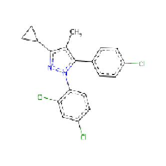 Cc1c(C2CC2)nn(-c2ccc(Cl)cc2Cl)c1-c1ccc(Cl)cc1